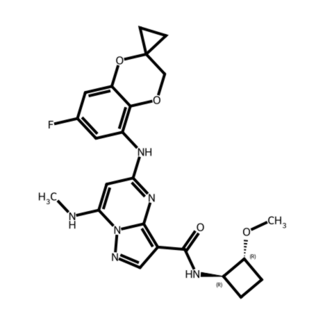 CNc1cc(Nc2cc(F)cc3c2OCC2(CC2)O3)nc2c(C(=O)N[C@@H]3CC[C@H]3OC)cnn12